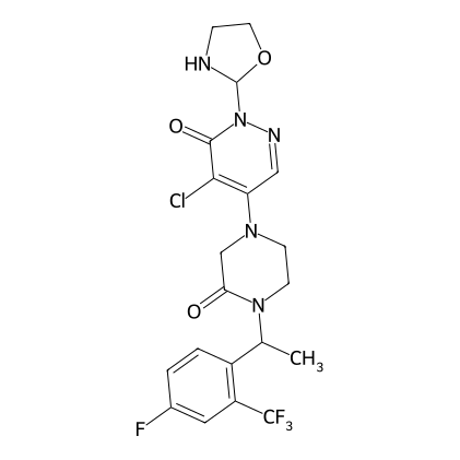 CC(c1ccc(F)cc1C(F)(F)F)N1CCN(c2cnn(C3NCCO3)c(=O)c2Cl)CC1=O